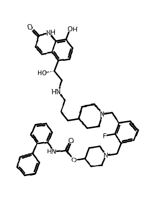 O=C(Nc1ccccc1-c1ccccc1)OC1CCN(Cc2cccc(CN3CCC(CCCNC[C@H](O)c4ccc(O)c5[nH]c(=O)ccc45)CC3)c2F)CC1